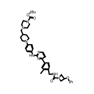 Cc1cc(-c2ccnc(Nc3ccc(N4CCC(CN5CCN(C(=O)OC(C)(C)C)CC5)CC4)cc3)n2)ccc1CNC(=O)N1CC(OC(C)C)C1